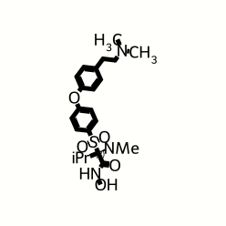 CN[C@](C(=O)NO)(C(C)C)S(=O)(=O)c1ccc(Oc2ccc(CCN(C)C)cc2)cc1